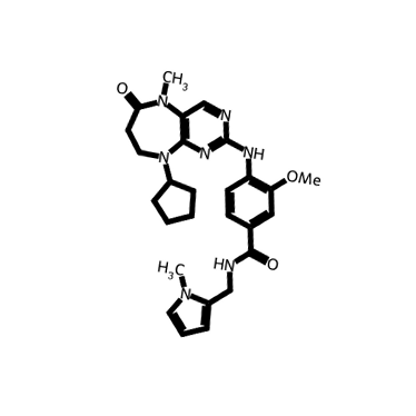 COc1cc(C(=O)NCc2cccn2C)ccc1Nc1ncc2c(n1)N(C1CCCC1)CCC(=O)N2C